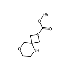 CC(C)(C)OC(=O)N1CC2(COCCN2)C1